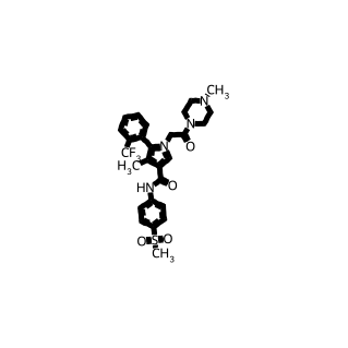 Cc1c(C(=O)Nc2ccc(S(C)(=O)=O)cc2)cn(CC(=O)N2CCN(C)CC2)c1-c1ccccc1C(F)(F)F